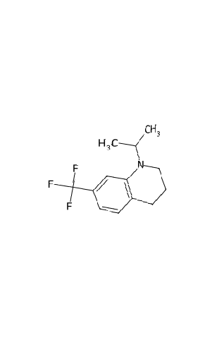 CC(C)N1CCCc2ccc(C(F)(F)F)cc21